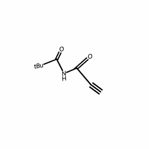 C#CC(=O)NC(=O)C(C)(C)C